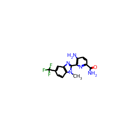 Cn1c(-c2nc(C(N)=O)ccc2N)nc2cc(C(F)(F)F)ccc21